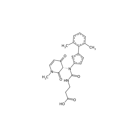 Cc1cccc(C)c1-c1ccc(N(C(=O)NCCC(=O)O)[C@H]2C(=O)C=CN(C)C2=O)s1